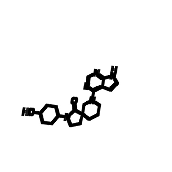 O=C1N(C2CCC(O)CC2)CC[C@@]12CCCN(c1ncnc3[nH]ccc13)C2